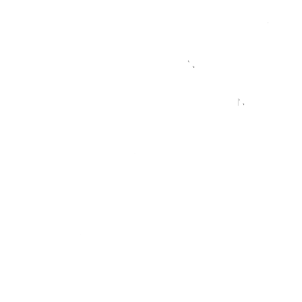 Clc1cnc(-c2ccc(OCc3ccccc3)cc2)nc1